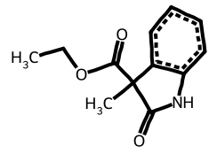 CCOC(=O)C1(C)C(=O)Nc2ccccc21